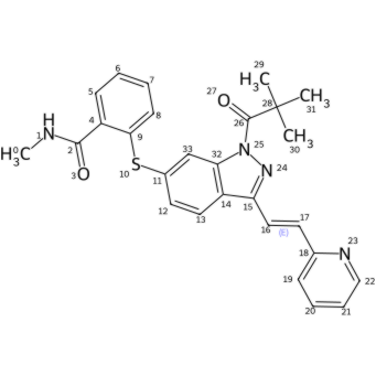 CNC(=O)c1ccccc1Sc1ccc2c(/C=C/c3ccccn3)nn(C(=O)C(C)(C)C)c2c1